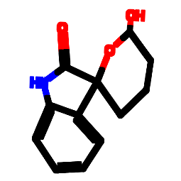 O=C1Nc2ccccc2C12CCCC(O)O2